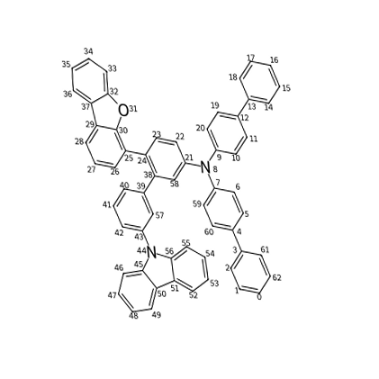 c1ccc(-c2ccc(N(c3ccc(-c4ccccc4)cc3)c3ccc(-c4cccc5c4oc4ccccc45)c(-c4cccc(-n5c6ccccc6c6ccccc65)c4)c3)cc2)cc1